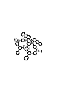 CC(C)(C)c1ccc(N2c3cc(-c4nc(-c5cc(-c6ccccc6)cc(-c6ccccc6)c5)nc(-c5cc(-c6ccccc6)cc(-c6ccccc6)c5)n4)cc4c3B(c3ccc5cc6ccccc6cc5c32)c2ccc3cc5ccccc5cc3c2N4c2ccc(C(C)(C)C)cc2)cc1